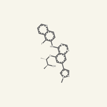 C[C@H](O)[C@H](C)Oc1cc(-c2cnn(C)c2)cc2ncnc(Nc3ccc4ncccc4c3F)c12